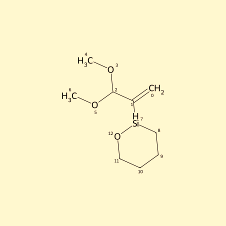 C=C(C(OC)OC)[SiH]1CCCCO1